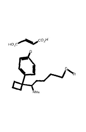 CCOCCCCC(NC)C1(c2ccc(Cl)cc2)CCC1.O=C(O)C=CC(=O)O